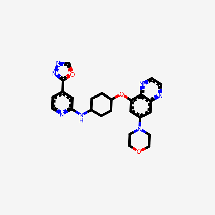 c1cc(-c2nnco2)cc(NC2CCC(Oc3cc(N4CCOCC4)cc4nccnc34)CC2)n1